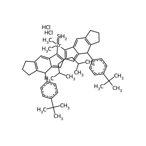 CC(C)CC1=[C]([Zr]([CH3])([CH3])(=[SiH2])[C]2=C(CC(C)C)C=C3C2=CC2=C(CCC2)C3c2ccc(C(C)(C)C)cc2)C2=CC3=C(CCC3)C(c3ccc(C(C)(C)C)cc3)C2=C1.Cl.Cl